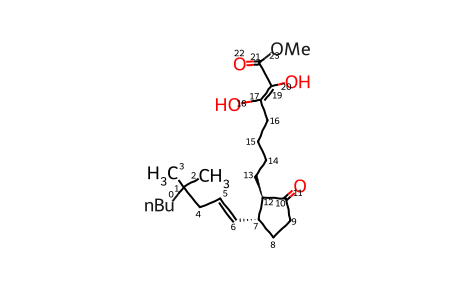 CCCCC(C)(C)CC=C[C@H]1CCC(=O)[C@@H]1CCCCC(O)=C(O)C(=O)OC